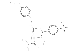 COc1ccc(COC(=O)OC(c2ccc(S(C)(=O)=O)cc2)C(CF)NC(=O)C(Cl)Cl)cc1